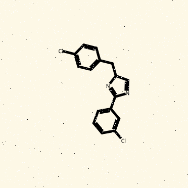 Clc1ccc(CC2C=NC(c3cccc(Cl)c3)=N2)cc1